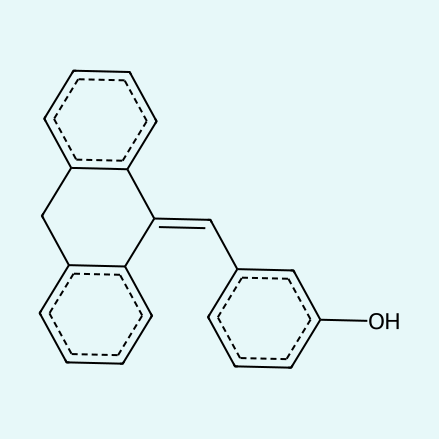 Oc1cccc(C=C2c3ccccc3Cc3ccccc32)c1